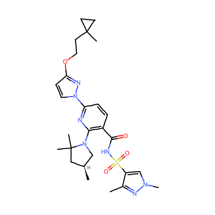 Cc1nn(C)cc1S(=O)(=O)NC(=O)c1ccc(-n2ccc(OCCC3(C)CC3)n2)nc1N1C[C@@H](C)CC1(C)C